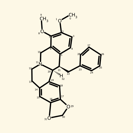 COc1ccc2c(c1OC)CN1CCc3cc4c(cc3[C@@H]1[C@@H]2Cc1ccccc1)OCO4